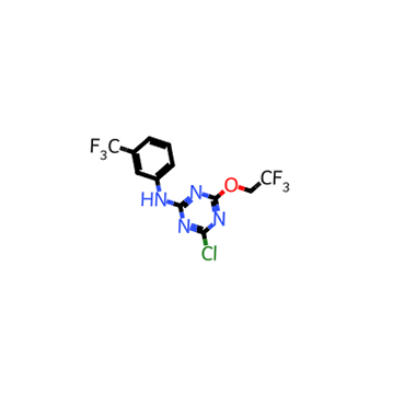 FC(F)(F)COc1nc(Cl)nc(Nc2cccc(C(F)(F)F)c2)n1